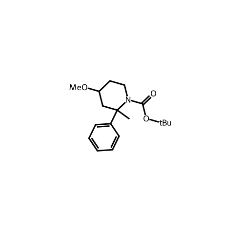 COC1CCN(C(=O)OC(C)(C)C)C(C)(c2ccccc2)C1